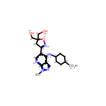 CCn1ncc2c(NC3CCC(C(=O)O)CC3)c(C3=NOC(CO)(CO)C3)cnc21